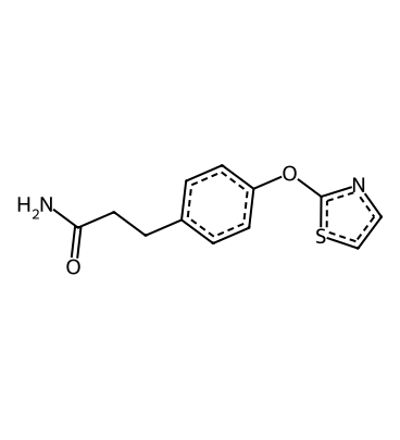 NC(=O)CCc1ccc(Oc2nccs2)cc1